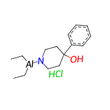 C[CH2][Al]([CH2]C)[N]1CCC(O)(c2ccccc2)CC1.Cl